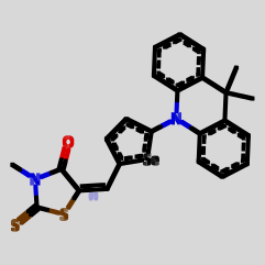 CN1C(=O)/C(=C\c2ccc(N3c4ccccc4C(C)(C)c4ccccc43)[se]2)SC1=S